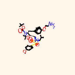 COc1ccc(S(=O)(=O)N(CC(C)C)C[C@H]2OC(C)(C)N(C(=O)OC(C)(C)C)[C@H]2Cc2ccc(OCCN)cc2)cc1